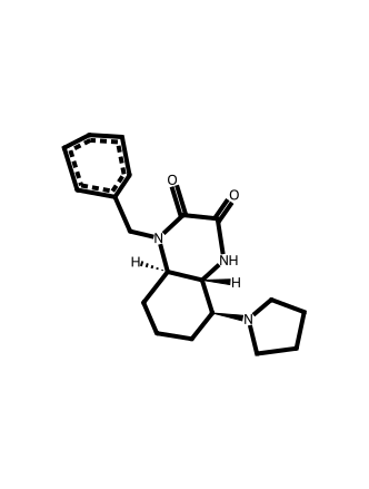 O=C1N[C@H]2[C@@H](CCC[C@@H]2N2CCCC2)N(Cc2ccccc2)C1=O